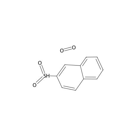 O=O.O=[SH](=O)c1ccc2ccccc2c1